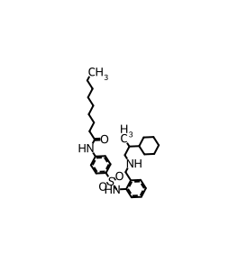 CCCCCCCCC(=O)Nc1ccc(S(=O)(=O)Nc2ccccc2CNCC(C)C2CCCCC2)cc1